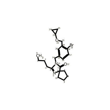 CCCCC1=NC2(CCCC2)C(=O)N1Cc1ccc(Br)c(COC2CC2)c1